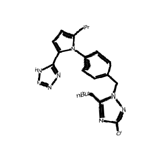 CCCCc1nc(Cl)nn1Cc1ccc(-n2c(-c3nnn[nH]3)ccc2C(C)C)cc1